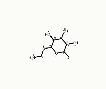 CC1O[C@@H](OCN)[C@@H](O)C(O)[C@H]1O